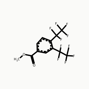 COC(=O)c1ccc(C(F)(F)C(F)(F)F)c(C(F)(F)C(F)(F)F)c1